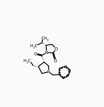 CC[C@H]1CN(Cc2ccccc2)C[C@H]1C(=O)N1C(=O)OC[C@H]1C(C)C